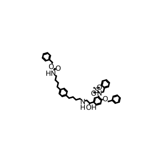 CS(=O)(=O)N(Cc1ccccc1)c1cc(C(O)CNCCCCc2ccc(CCCCNC(=O)OCc3ccccc3)cc2)ccc1OCc1ccccc1